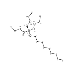 CCCCCCCCCO[Si](OOCC)(OOCC)OOCC